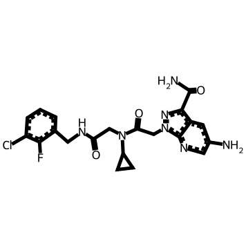 NC(=O)c1nn(CC(=O)N(CC(=O)NCc2cccc(Cl)c2F)C2CC2)c2ncc(N)cc12